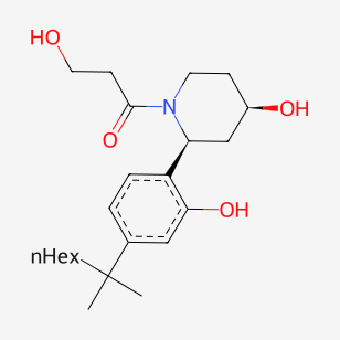 CCCCCCC(C)(C)c1ccc([C@@H]2C[C@H](O)CCN2C(=O)CCO)c(O)c1